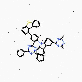 Cc1nc(C)nc(-c2ccc3c(c2)c2ccccc2n3-c2ccc(-c3cccc4sc5ccccc5c34)cc2-c2nc(-c3ccccc3)nc(-c3ccccc3)n2)n1